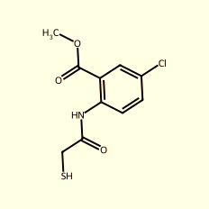 COC(=O)c1cc(Cl)ccc1NC(=O)CS